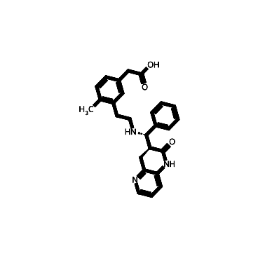 Cc1ccc(CC(=O)O)cc1CCN[C@H](c1ccccc1)[C@@H]1Cc2ncccc2NC1=O